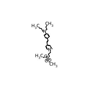 CCCCN(CCCC)c1ccc(C=Cc2cc[n+](CCCP(=O)(OCC)OCC)cc2)cc1